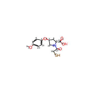 COc1ccc(O[C@H]2C[C@@H](C(=O)O)N(C(=O)CS)C2)cc1